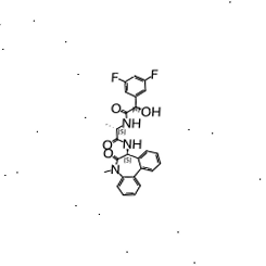 C[C@H](NC(=O)[C@H](O)c1cc(F)cc(F)c1)C(=O)N[C@@H]1C(=O)N(C)c2ccccc2-c2ccccc21